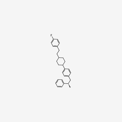 C[C@H](Cc1ccc(C2CCC(CCc3ccc(F)cc3)CC2)cc1)c1ccccc1